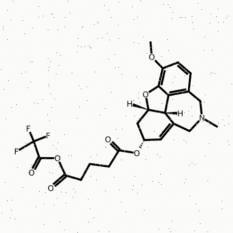 COc1ccc2c3c1O[C@H]1C[C@@H](OC(=O)CCCC(=O)OC(=O)C(F)(F)F)C=C(CN(C)C2)[C@@H]31